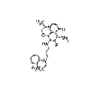 C=CN(CCCNc1c(F)c(N)c2c(=O)ccn3c2c1OCC3C)c1ccccc1N